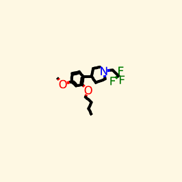 CCCCOc1cc(OC)ccc1C1CCN(CC(F)(F)F)CC1